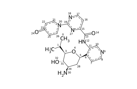 CC(C)[C@H]1O[C@@H](c2ccncc2NC(=O)c2ccnc(-n3ccc(=O)cc3)n2)C[C@@H](N)[C@@H]1O